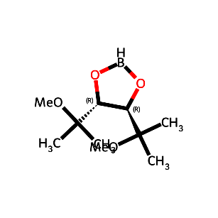 COC(C)(C)[C@@H]1OBO[C@H]1C(C)(C)OC